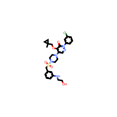 CC1(COc2c(N3CCN(S(=O)(=O)Cc4cccc(NCCO)c4)CC3)cnn(-c3cccc(Cl)c3)c2=O)CC1